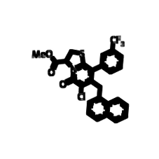 COC(=O)C1CSc2c(-c3cccc(C(F)(F)F)c3)c(Cc3cccc4ccccc34)c(Cl)c(=O)n21